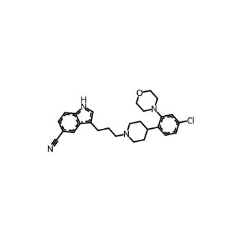 N#Cc1ccc2[nH]cc(CCCN3CCC(c4ccc(Cl)cc4N4CCOCC4)CC3)c2c1